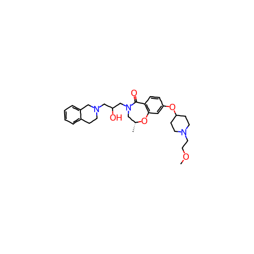 COCCN1CCC(Oc2ccc3c(c2)O[C@H](C)CN(CC(O)CN2CCc4ccccc4C2)C3=O)CC1